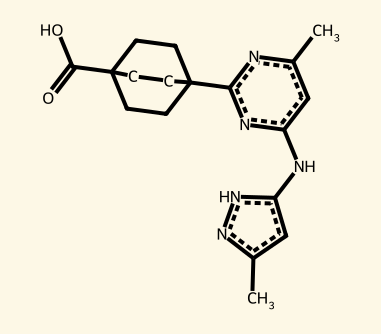 Cc1cc(Nc2cc(C)nc(C34CCC(C(=O)O)(CC3)CC4)n2)[nH]n1